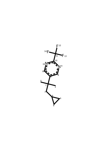 CC(C)(CC1CC1)c1cnc(C(F)(F)F)nc1